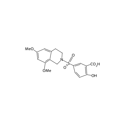 COc1cc2c(c(OC)c1)CN(S(=O)(=O)c1ccc(O)c(C(=O)O)c1)CC2